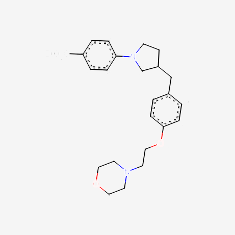 CCOC(=O)c1ccc(N2CCC(Cc3ccc(OCCN4CCOCC4)cc3)C2)cc1